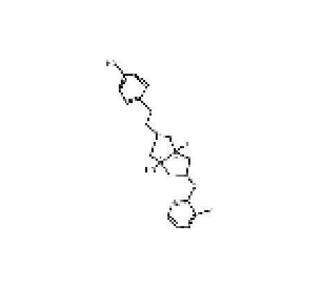 Oc1ccc(CCN2C[C@@H]3C[C@@H](Oc4ncccc4F)C[C@]3(O)C2)cc1